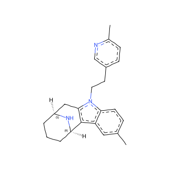 Cc1ccc2c(c1)c1c(n2CCc2ccc(C)nc2)C[C@@H]2CCC[C@H]1N2